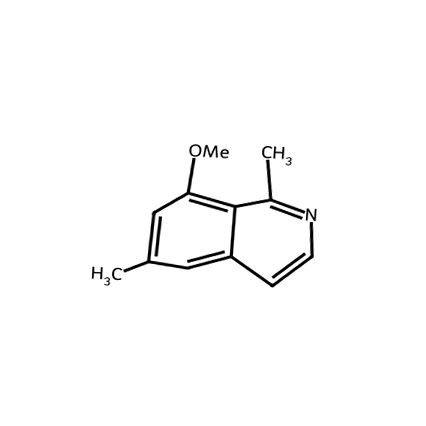 COc1cc(C)cc2ccnc(C)c12